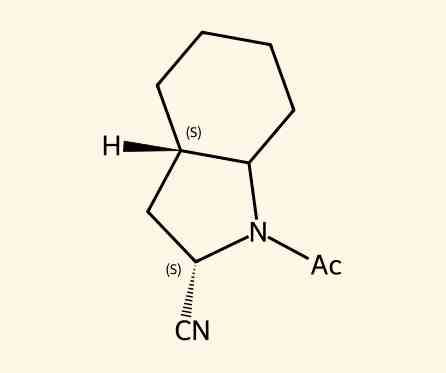 CC(=O)N1C2CCCC[C@H]2C[C@H]1C#N